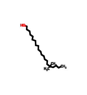 CCCCC(C)(C)CCCCCCCCCCCCCCCCO